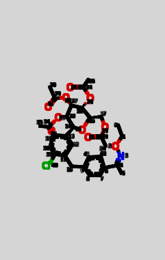 CCO/N=C(/C)c1ccc(Cc2cc([C@@H]3O[C@H](COC(C)=O)[C@@H](OC(C)=O)[C@H](OC(C)=O)[C@H]3OC(C)=O)ccc2Cl)cc1